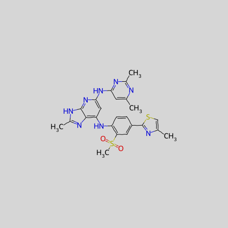 Cc1cc(Nc2cc(Nc3ccc(-c4nc(C)cs4)cc3S(C)(=O)=O)c3nc(C)[nH]c3n2)nc(C)n1